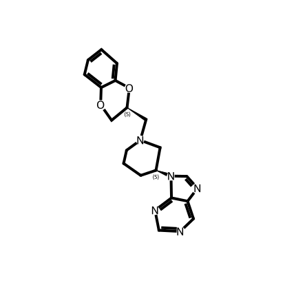 c1ccc2c(c1)OC[C@H](CN1CCC[C@H](n3cnc4cncnc43)C1)O2